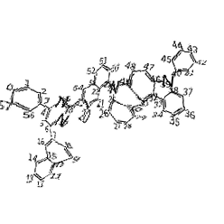 c1ccc(-c2cc(-c3ccc4ccccc4c3)nc(-c3ccc4c(-n5c6ccccc6c6c7c8ccccc8n(-c8ccccc8)c7ccc65)cccc4c3)n2)cc1